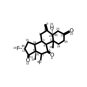 C=C1CC2C(C(=O)C(F)[C@]3(C)C(=O)[C@H](F)CC23)C2(C)CCC(=O)C[C@H]12